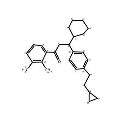 Cc1cccc(C(=O)CC(c2ccc(CCC3CC3)cc2)C2CCCCC2)c1C